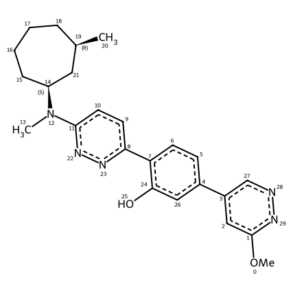 COc1cc(-c2ccc(-c3ccc(N(C)[C@H]4CCCC[C@@H](C)C4)nn3)c(O)c2)cnn1